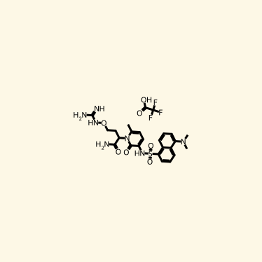 Cc1ccc(NS(=O)(=O)c2cccc3c(N(C)C)cccc23)c(=O)n1C(CCONC(=N)N)C(N)=O.O=C(O)C(F)(F)F